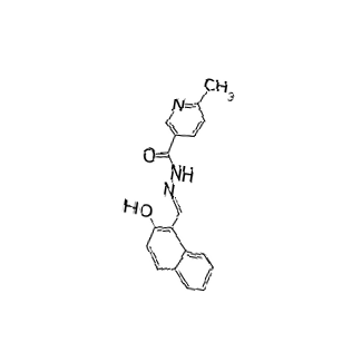 Cc1ccc(C(=O)N/N=C/c2c(O)ccc3ccccc23)cn1